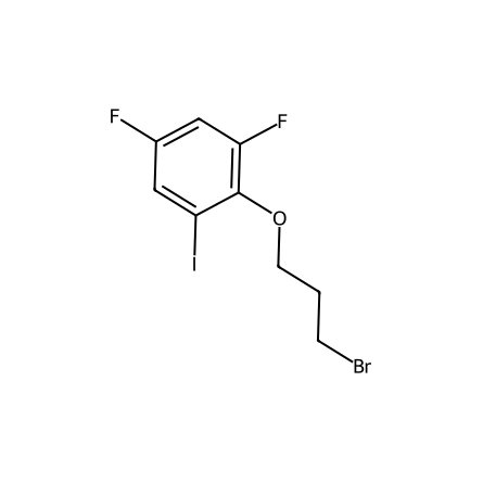 Fc1cc(F)c(OCCCBr)c(I)c1